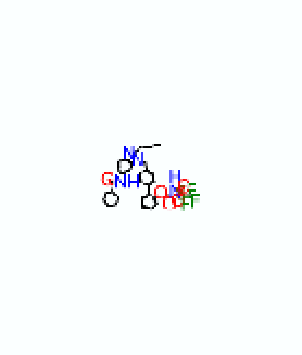 CCCCc1nc2ccc(NC(=O)C3CCCCC3)cc2n1Cc1ccc(-c2ccccc2OC(=O)NS(=O)(=O)C(F)(F)F)cc1